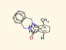 CC1(C)[C@@H]2CC[C@@]1(C)c1c2c(=O)n(Cc2ccccc2)n1Cc1ccccc1